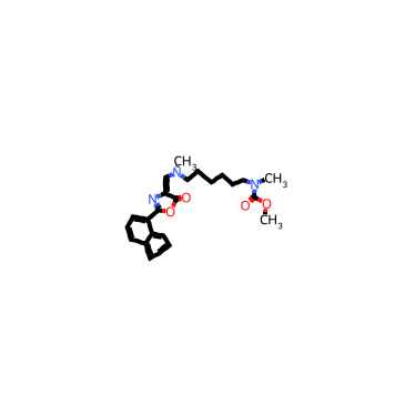 COC(=O)N(C)CCCCCCN(C)C=C1N=C(c2cccc3ccccc23)OC1=O